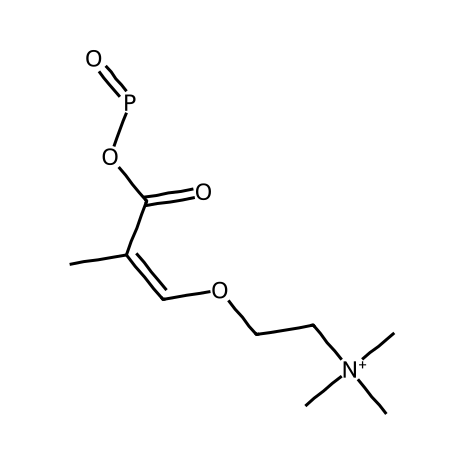 CC(=COCC[N+](C)(C)C)C(=O)OP=O